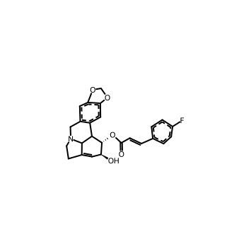 O=C(/C=C/c1ccc(F)cc1)O[C@H]1C2c3cc4c(cc3CN3CCC(=C[C@@H]1O)C23)OCO4